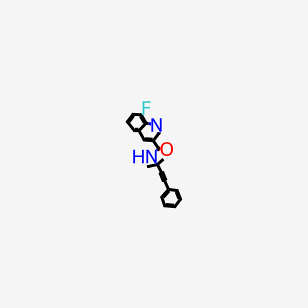 CC(C)(C#Cc1ccccc1)NC(=O)c1cnc2c(F)cccc2c1